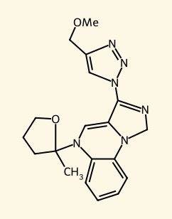 COCc1cn(C2=NCN3C2=CN(C2(C)CCCO2)c2ccccc23)nn1